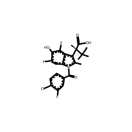 Cc1c([C@](C)(C(=O)O)C(C)(C)C)c2c(F)c(O)c(F)cc2n1C(=O)c1ccc(Cl)c(F)c1